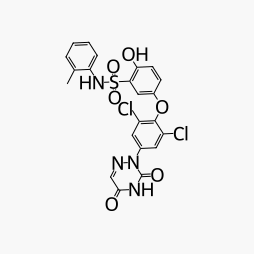 Cc1ccccc1NS(=O)(=O)c1cc(Oc2c(Cl)cc(-n3ncc(=O)[nH]c3=O)cc2Cl)ccc1O